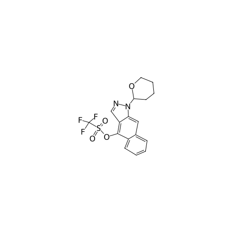 O=S(=O)(Oc1c2ccccc2cc2c1cnn2C1CCCCO1)C(F)(F)F